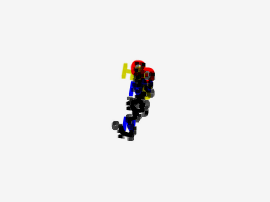 C[C@@H]1CCCN1CCc1ccc(-c2nc(C[SH](=O)=O)ns2)cc1